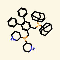 c1ccc(-c2cc(CP(C3CCCNC3)C3CCCNC3)c(CP(C34CC5CC(CC(C5)C3)C4)C34CC5CC(CC(C5)C3)C4)cc2-c2ccccc2)cc1